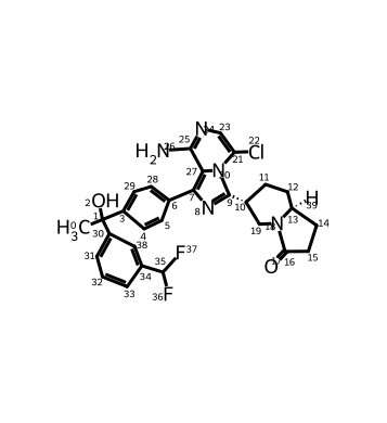 CC(O)(c1ccc(-c2nc([C@@H]3CC[C@H]4CCC(=O)N4C3)n3c(Cl)cnc(N)c23)cc1)c1cccc(C(F)F)c1